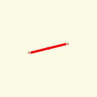 O=C(CCC(=O)OCCOCCOCCOCCOCCOCCOCCOCCOCCOCCOCCOCCOCCOCCOCCOCCOCCOCCOCCOCCOCCOCCO)OCCOCCOCCOCCOCCOCCOCCOCCOCCOCCOCCOCCOCCOCCOCCOCCOCCOCCOCCOCCOCCOCCO